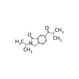 CC(C)C(=O)c1ccc2c(c1)C(=O)N(C(C)C)C2